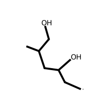 [CH2]CC(O)CC(C)CO